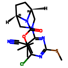 CSc1nc(Cl)c(C#N)c(N2C[C@H]3CC[C@@H](C2)N3C(=O)OC(C)(C)C)n1